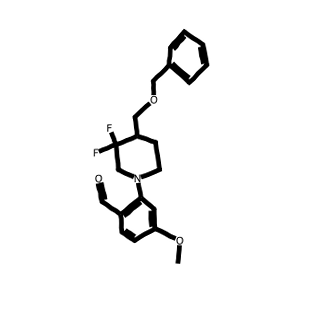 COc1ccc(C=O)c(N2CCC(COCc3ccccc3)C(F)(F)C2)c1